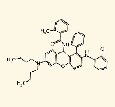 CCCCN(CCCC)c1ccc2c(c1)Oc1ccc(Nc3ccccc3Cl)c(-c3ccccc3)c1C2NC(=O)c1ccccc1C